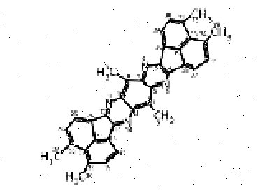 Cc1c2nc3c(nc2c(C)c2nc4c(nc12)-c1ccc(C)c2c(C)ccc-4c12)-c1ccc(C)c2c(C)ccc-3c12